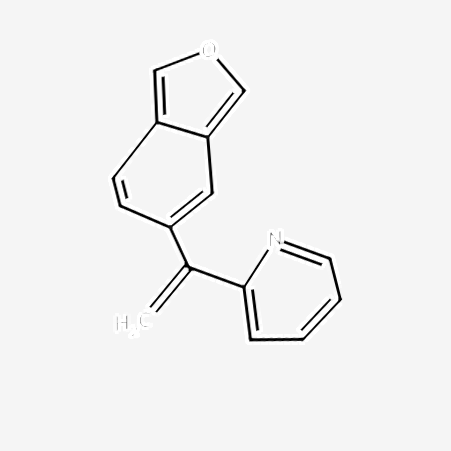 C=C(c1ccc2cocc2c1)c1ccccn1